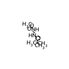 COC(=O)NCCNc1cccc(C(C)(C)C)c1